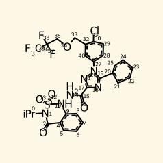 CC(C)N1C(=O)c2ccccc2NS1(=O)=O.NC(=O)c1nc(-c2ccccc2)n(-c2ccc(Cl)c(COCC(F)(F)C(F)(F)F)c2)n1